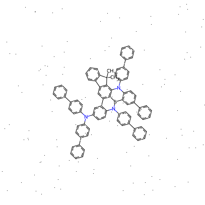 CC1(C)c2ccccc2-c2cc3c4c(c21)N(c1ccc(-c2ccccc2)cc1)c1ccc(-c2ccccc2)cc1B4N(c1ccc(-c2ccccc2)cc1)c1ccc(N(c2ccc(-c4ccccc4)cc2)c2ccc(-c4ccccc4)cc2)cc1-3